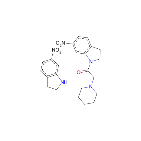 O=C(CN1CCCCC1)N1CCc2ccc([N+](=O)[O-])cc21.O=[N+]([O-])c1ccc2c(c1)NCC2